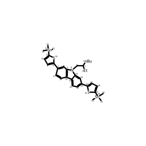 CCCCC(CC)Cn1c2cc(-c3cc[c]([Sn]([CH3])([CH3])[CH3])s3)ccc2c2ccc(-c3cc[c]([Sn]([CH3])([CH3])[CH3])s3)cc21